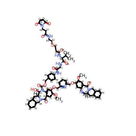 COc1cc2c(cc1OCc1cccc(COc3cc4c(cc3OC)C(=O)N3Cc5ccccc5C[C@H]3C(O)N4C(=O)OCc3ccc(NC(=O)CNC(=O)[C@@H](NC(=O)CCOCCNC(=O)CCN4C(=O)C=CC4=O)C(C)C)cc3)n1)N=C[C@@H]1Cc3ccccc3CN1C2=O